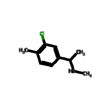 CBC(C)c1ccc(C)c(Cl)c1